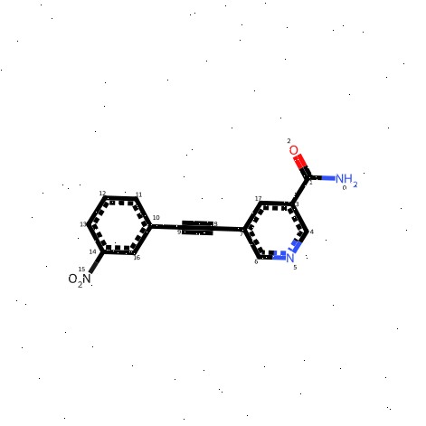 NC(=O)c1cncc(C#Cc2cccc([N+](=O)[O-])c2)c1